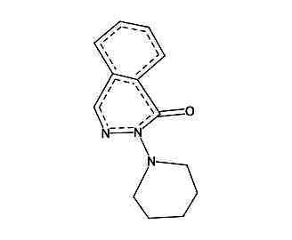 O=c1c2ccccc2cnn1N1CCCCC1